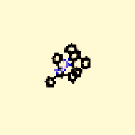 c1ccc(-c2cc(-c3ccccc3)nc(-c3ccccc3-n3nc(-c4ccccc4)c4c(-c5ccccc5)cc5ccccc5c43)n2)cc1